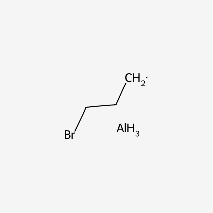 [AlH3].[CH2]CCBr